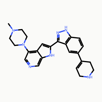 CN1CCN(c2cncc3[nH]c(-c4n[nH]c5ccc(C6=CCNCC6)cc45)cc23)CC1